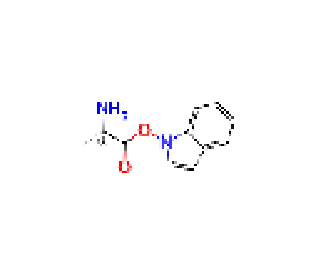 C[C@H](N)C(=O)On1ccc2ccccc21